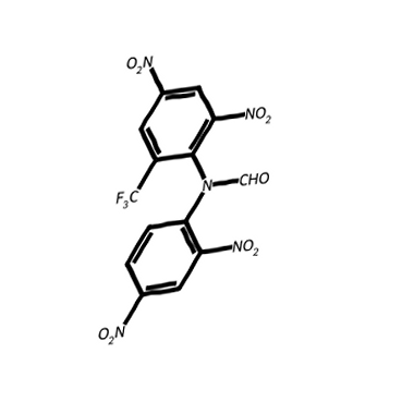 O=CN(c1ccc([N+](=O)[O-])cc1[N+](=O)[O-])c1c([N+](=O)[O-])cc([N+](=O)[O-])cc1C(F)(F)F